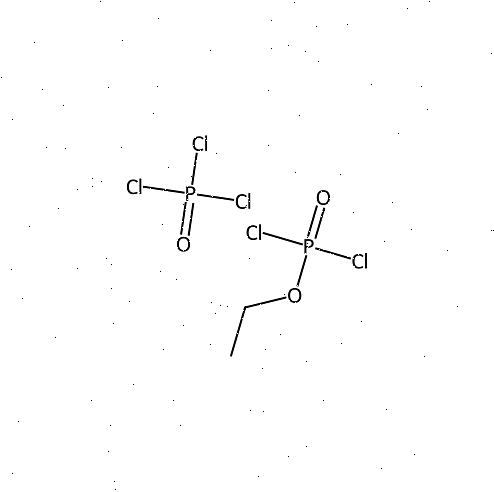 CCOP(=O)(Cl)Cl.O=P(Cl)(Cl)Cl